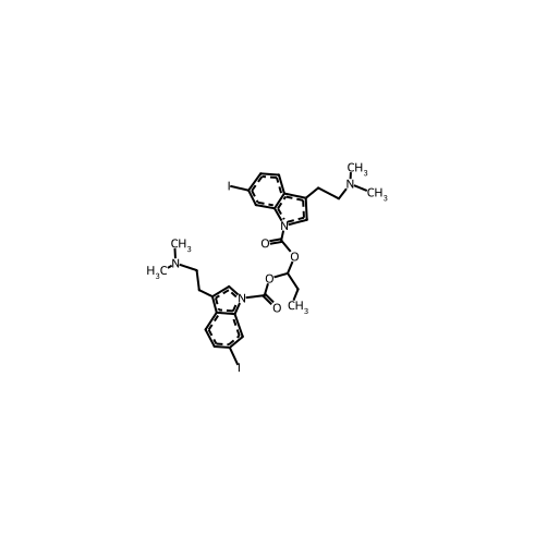 CCC(OC(=O)n1cc(CCN(C)C)c2ccc(I)cc21)OC(=O)n1cc(CCN(C)C)c2ccc(I)cc21